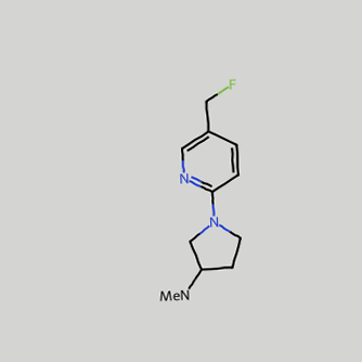 CNC1CCN(c2ccc(CF)cn2)C1